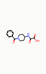 O=C(O)C(=O)NC1CCN(C(=O)c2ccccc2)CC1